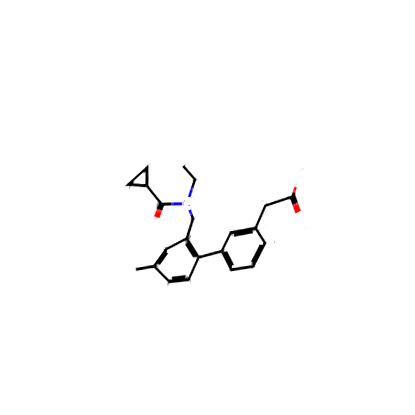 CCN(Cc1cc(C)ccc1-c1cccc(CC(=O)O)c1)C(=O)C1CC1